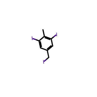 Cc1c(I)cc(CI)cc1I